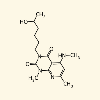 CNc1cc(C)nc2c1c(=O)n(CCCCC(C)O)c(=O)n2C